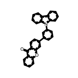 O=c1c2ccccc2oc2cc(-c3cccc(-n4c5ccccc5c5ccccc54)c3)ccc12